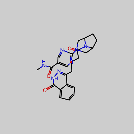 CNC(=O)c1cnc(N2CC3CCC(C2)N3C(=O)CCCc2n[nH]c(=O)c3ccccc23)nc1